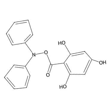 O=C(ON(c1ccccc1)c1ccccc1)c1c(O)cc(O)cc1O